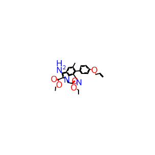 C=CCOc1ccc(-c2c(C)cc3c(N)c(C(=O)OCC)n(CC(=O)OCC)c3c2C#N)cc1